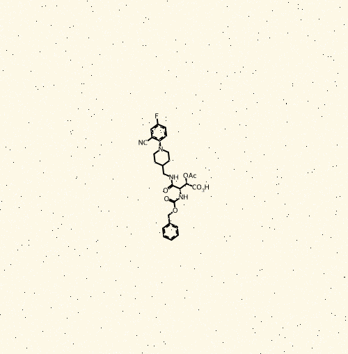 CC(=O)O[C@@H](C(=O)O)[C@@H](NC(=O)OCc1ccccc1)C(=O)NCC1CCN(c2ccc(F)cc2C#N)CC1